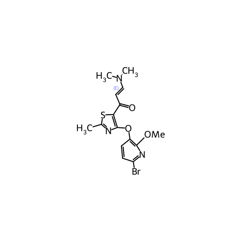 COc1nc(Br)ccc1Oc1nc(C)sc1C(=O)/C=C/N(C)C